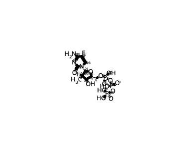 C[C@@]1(F)C(O)[C@@H](COP(=O)(O)OP(=O)(O)OP(=O)(O)O)O[C@H]1n1cc(F)c(N)nc1=O